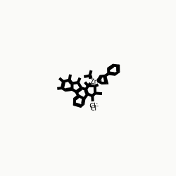 C[C](C)=[Zr+2]([C]1=CC(c2ccccc2)=CC1)[C]1(C)c2c3c(c4ccccc4c2C(C)C(C)C1C)-c1cc(C)c(C)c(C)c1C3C.[Cl-].[Cl-]